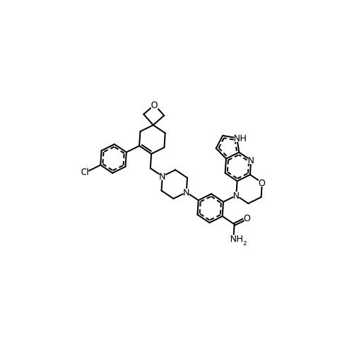 NC(=O)c1ccc(N2CCN(CC3=C(c4ccc(Cl)cc4)CC4(CC3)COC4)CC2)cc1N1CCOc2nc3[nH]ccc3cc21